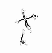 O=S(=O)(O)O.[F][AlH2]